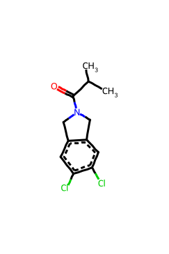 CC(C)C(=O)N1Cc2cc(Cl)c(Cl)cc2C1